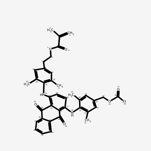 C=C(C)C(=O)OCCc1cc(C)c(Nc2ccc(Nc3c(C)cc(COC(=O)CC)cc3C)c3c2C(=O)c2ccccc2C3=O)c(C)c1